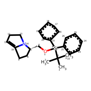 CC(C)(C)[Si](OC[C@@H]1CCC2=CCCN21)(c1ccccc1)c1ccccc1